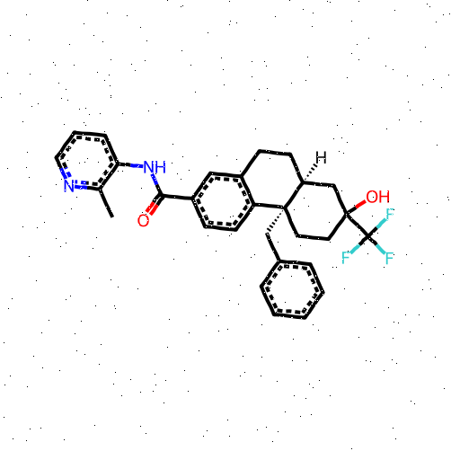 Cc1ncccc1NC(=O)c1ccc2c(c1)CC[C@H]1CC(O)(C(F)(F)F)CC[C@@]21Cc1ccccc1